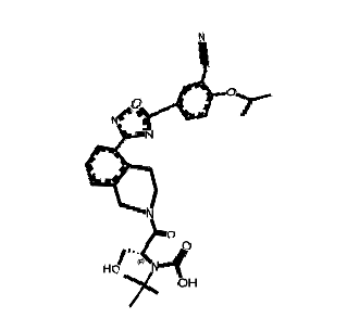 CC(C)Oc1ccc(-c2nc(-c3cccc4c3CCN(C(=O)[C@@H](CO)N(C(=O)O)C(C)(C)C)C4)no2)cc1C#N